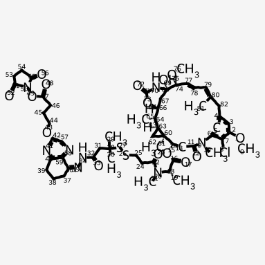 COc1cc2cc(c1Cl)N(C)C(=O)C[C@H](OC(=O)[C@H](C)N(C)C(=O)CCSSC(C)(C)CC(=O)N/N=C1/CCCc3nc(OCCCC(=O)ON4C(=O)CCC4=O)cnc31)[C@@]1(C)C[C@H]1[C@H](C)[C@@H]1C[C@@](O)(NC(=O)O1)[C@H](OC)/C=C/C=C(\C)C2